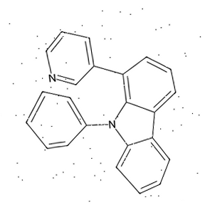 c1ccc(-n2c3ccccc3c3cccc(-c4cccnc4)c32)cc1